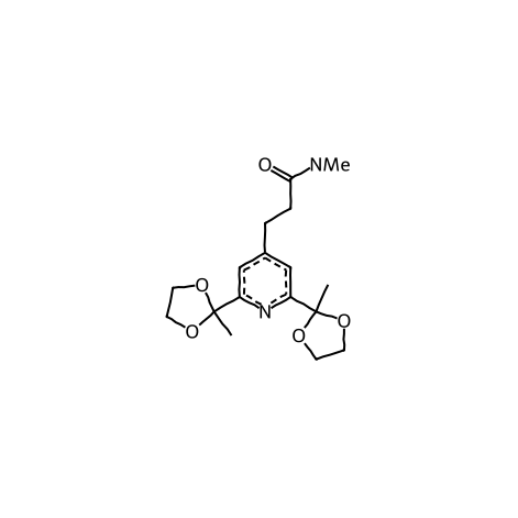 CNC(=O)CCc1cc(C2(C)OCCO2)nc(C2(C)OCCO2)c1